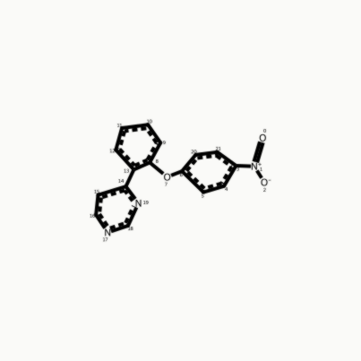 O=[N+]([O-])c1ccc(Oc2ccccc2-c2ccncn2)cc1